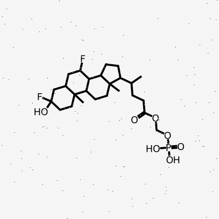 CC(CCC(=O)OCOP(=O)(O)O)C1CCC2C3C(F)CC4CC(O)(F)CCC4(C)C3CCC12C